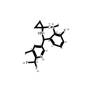 Cc1cc(C2NC3(CC3)CN(C)c3c(F)cccc32)cnc1C(F)F